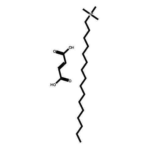 CCCCCCCCCCCCCCCC[N+](C)(C)C.O=C(O)/C=C/C(=O)O